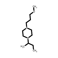 CCC(C)N1CCN(CCCOC)CC1